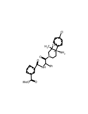 COC(=O)c1cccc(C(=O)NC(C(=O)N2CC[C@@](N)(c3ccc(Cl)cc3)C(C)(C)C2)C(C)C)c1